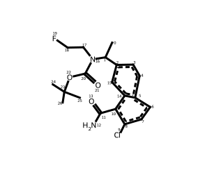 CC(c1ccc2ccc(Cl)c(C(N)=O)c2c1)N(CCF)C(=O)OC(C)(C)C